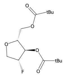 CC(C)(C)C(=O)OC[C@H]1OC[C@@H](F)[C@@H]1OC(=O)C(C)(C)C